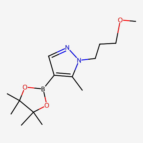 COCCCn1ncc(B2OC(C)(C)C(C)(C)O2)c1C